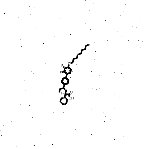 CCCCCCCCCOc1ccc(-c2ccc(C(CC)C[C@@](F)(C(=O)O)C3CCCCC3)cc2)c(F)c1F